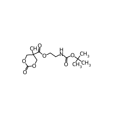 CC(C)(C)OC(=O)NCCOC(=O)C1(C)COC(=O)OC1